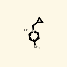 Nc1cc[n+](CC2CC2)cc1.[Cl-]